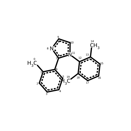 Cc1ccccc1-c1nccn1-c1c(C)cccc1C